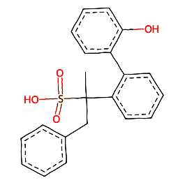 CC(Cc1ccccc1)(c1ccccc1-c1ccccc1O)S(=O)(=O)O